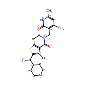 CCC(c1sc2c(c1C)C(=O)N(Cc1c(C)cc(C)[nH]c1=O)CC2)C1CCNCC1